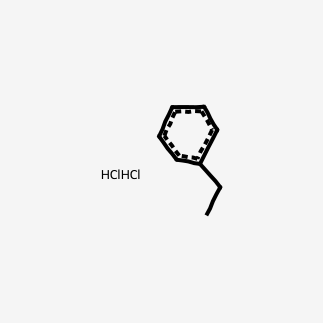 CCc1ccccc1.Cl.Cl